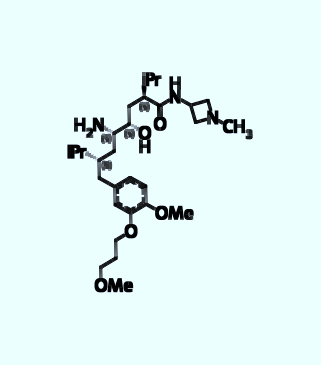 COCCCOc1cc(C[C@@H](C[C@H](N)[C@@H](O)C[C@H](C(=O)NC2CN(C)C2)C(C)C)C(C)C)ccc1OC